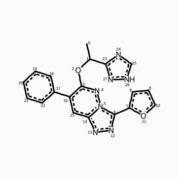 CC(Oc1nn2c(-c3ccco3)nnc2cc1-c1ccccc1)c1nc[nH]n1